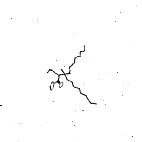 CCCCCCCCC(C)(CCCCCCCC)C(CC)C([O])=O